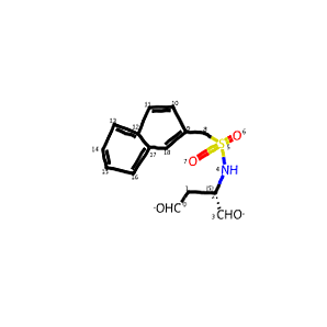 O=[C]C[C@@H]([C]=O)NS(=O)(=O)Cc1ccc2ccccc2c1